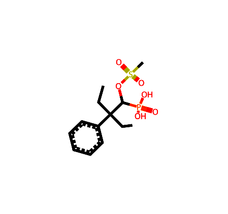 CCC(CC)(c1ccccc1)C(OS(C)(=O)=O)P(=O)(O)O